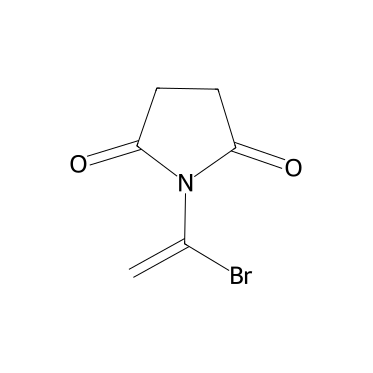 C=C(Br)N1C(=O)CCC1=O